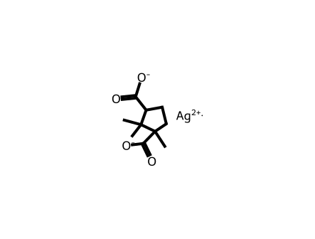 CC1(C(=O)[O-])CCC(C(=O)[O-])C1(C)C.[Ag+2]